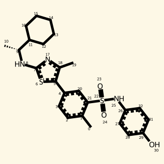 Cc1ccc(-c2sc(N[C@H](C)C3CCCCC3)nc2C)cc1S(=O)(=O)Nc1ccc(O)cc1